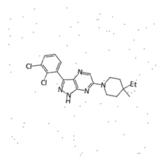 CCC1(C)CCN(c2cnc3c(-c4cccc(Cl)c4Cl)n[nH]c3n2)CC1